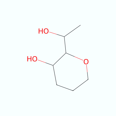 CC(O)C1OCCCC1O